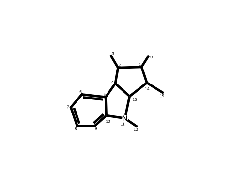 CC1C(C)C2c3ccccc3N(C)C2C1C